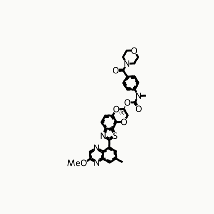 COc1cnc2c(-c3nc4ccc5c(c4s3)OC[C@@H](OC(=O)N(C)c3ccc(C(=O)N4CCOCC4)cc3)O5)cc(C)cc2n1